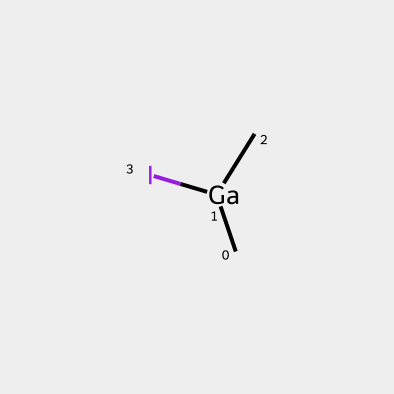 [CH3][Ga]([CH3])[I]